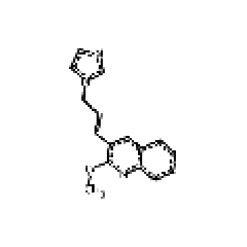 COc1nc2ccccc2cc1C=CCn1ccnc1